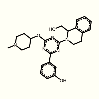 CN1CCC(Oc2nc(-c3cccc(O)c3)nc(N3CCc4ccccc4C3CO)n2)CC1